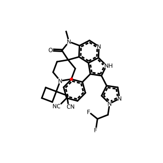 CN1C(=O)C2(CCN(C3(CC#N)CCC3)CC2)c2c1cnc1[nH]c(-c3cnn(CC(F)F)c3)c(-c3ccc(C#N)cc3)c21